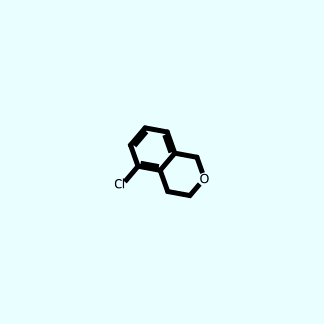 Clc1cccc2c1CCOC2